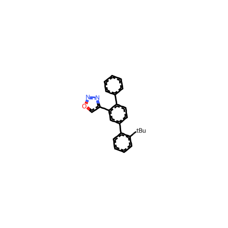 CC(C)(C)c1ccccc1-c1ccc(-c2ccccc2)c(-c2conn2)c1